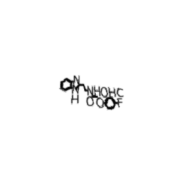 O=Cc1cc(F)ccc1OCC(=O)NCCc1nc2ccccc2[nH]1